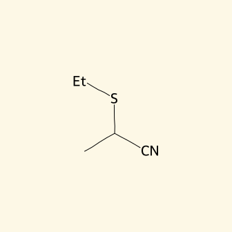 CCSC(C)C#N